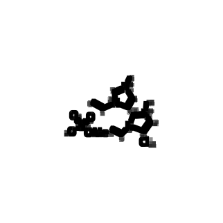 C=Cn1cc[n+](C)c1.C=Cn1cc[n+](C)c1.COS(=O)(=O)[O-].[Cl-]